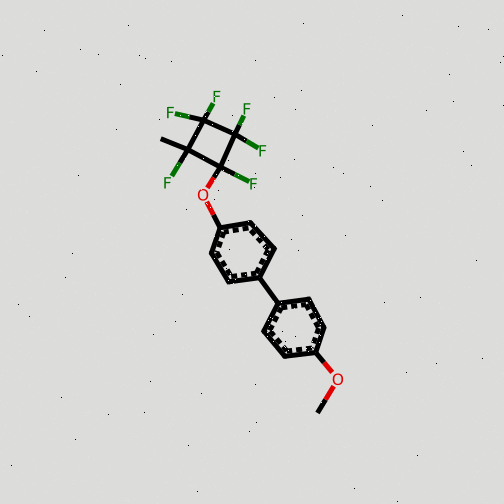 COc1ccc(-c2ccc(OC3(F)C(C)(F)C(F)(F)C3(F)F)cc2)cc1